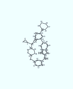 O=C(C1CC1)N1CCN(Cc2ccnc(Nc3nc4ccc(-c5cc(N6CCCCC6)ncn5)cc4[nH]3)c2)CC1